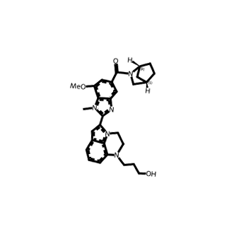 COc1cc(C(=O)N2C[C@H]3CC[C@@H]2C3)cc2nc(-c3cc4cccc5c4n3CCN5CCCO)n(C)c12